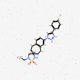 O=S1(=O)NC2(CN1CC(F)(F)F)C1CCC2Cc2cc(-n3cc(-c4ccc(F)cc4)nn3)ccc2C1